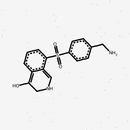 NCc1ccc(S(=O)(=O)c2cccc3c2=CNCC=3O)cc1